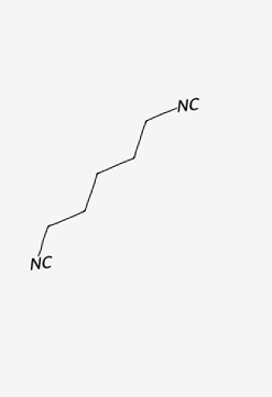 [C-]#[N+]CCCCC[N+]#[C-]